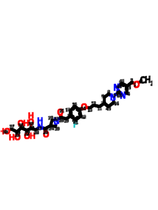 COCc1cnc(N2CCC(CCCOc3ccc(CC(=O)N4CC(C(=O)NC[C@H](O)[C@@H](O)[C@H](O)[C@H](O)CO)C4)c(F)c3)CC2)nc1